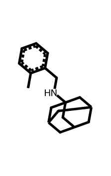 Cc1ccccc1CNC12CC3CC(CC(C3)C1)C2